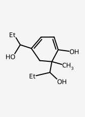 CCC(O)C1=CC=C(O)C(C)(C(O)CC)C1